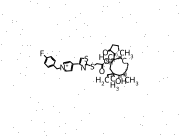 C=C[C@]1(C)C[C@@H](OC(=O)CSc2nc(-c3cc[n+](Cc4ccc(F)cc4)cc3)cs2)[C@@](C)([C@H]2CCCC2=O)[C@H](C)CCC[C@@H](C)[C@@H]1O